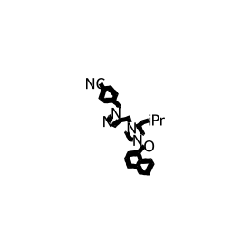 CC(C)CC1CN(C(=O)c2cccc3ccccc23)CCN1Cc1cncn1Cc1ccc(C#N)cc1